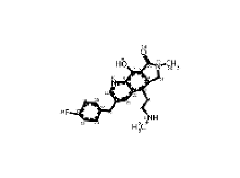 CNCCc1c2c(c(O)c3ncc(Cc4ccc(F)cc4)cc13)C(=O)N(C)C2